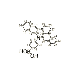 OB(O)c1ccc(N(c2ccc3ccccc3c2)c2cc3ccccc3c3ccccc23)cc1